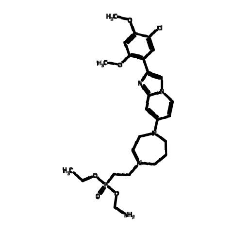 CCOP(=O)(CCN1CCCN(c2ccn3cc(-c4cc(Cl)c(OC)cc4OC)nc3c2)CC1)OCN